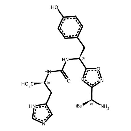 CCC(C)[C@H](N)c1noc([C@H](Cc2ccc(O)cc2)NC(=O)N[C@@H](Cc2cnc[nH]2)C(=O)O)n1